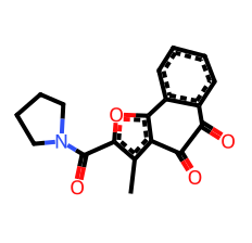 Cc1c(C(=O)N2CCCC2)oc2c1C(=O)C(=O)c1ccccc1-2